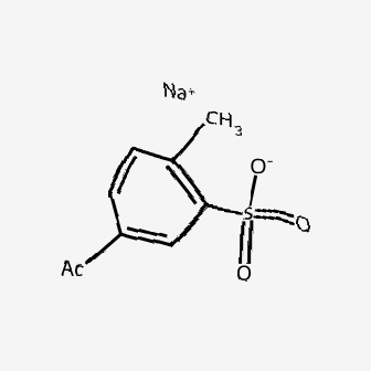 CC(=O)c1ccc(C)c(S(=O)(=O)[O-])c1.[Na+]